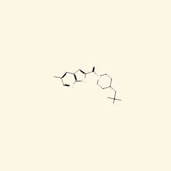 CC(C)(O)CC1CCN(C(=O)c2cc3cc(Cl)cnc3[nH]2)CC1